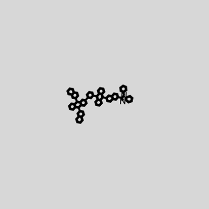 c1ccc(-n2c(-c3ccc4cc(-c5c6ccccc6c(-c6cccc(-c7ccc8c(-c9ccc%10ccccc%10c9)c9ccccc9c(-c9ccc%10ccccc%10c9)c8c7)c6)c6ccccc56)ccc4c3)nc3ccccc32)cc1